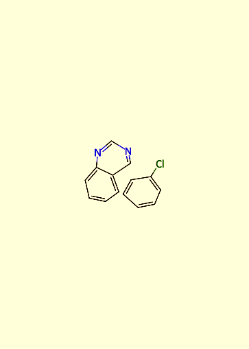 Clc1ccccc1.c1ccc2ncncc2c1